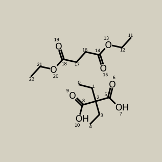 CCC(CC)(C(=O)O)C(=O)O.CCOC(=O)CCC(=O)OCC